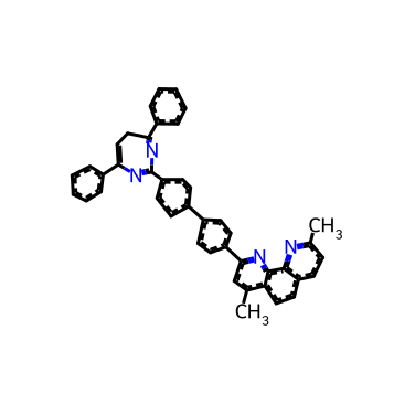 Cc1ccc2ccc3c(C)cc(-c4ccc(-c5ccc(C6=NC(c7ccccc7)=CCC(c7ccccc7)=N6)cc5)cc4)nc3c2n1